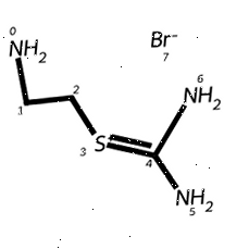 NCC[S+]=C(N)N.[Br-]